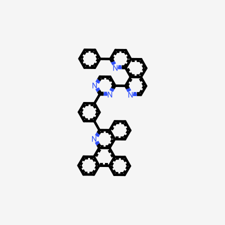 c1ccc(-c2ccc3ccc4ccnc(-c5ccnc(-c6cccc(-c7nc8c9ccccc9c9ccccc9c8c8ccccc78)c6)n5)c4c3n2)cc1